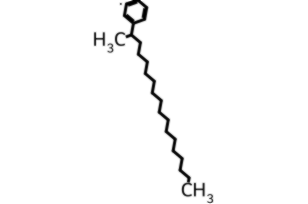 CCCCCCCCCCCCCCCCC(C)c1c[c]ccc1